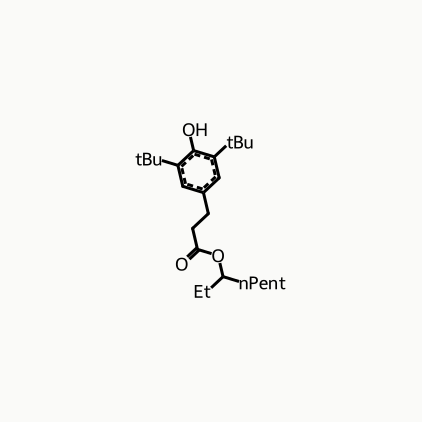 CCCCCC(CC)OC(=O)CCc1cc(C(C)(C)C)c(O)c(C(C)(C)C)c1